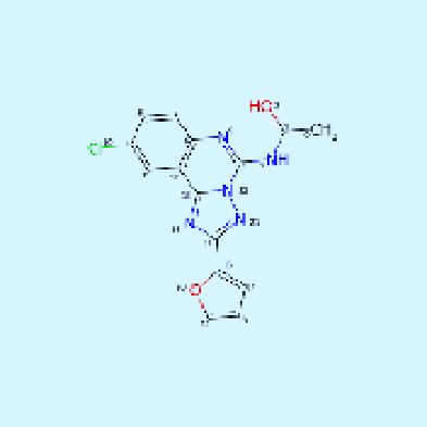 CC(O)Nc1nc2ccc(Cl)cc2c2nc(-c3ccco3)nn12